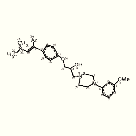 COc1cccc(N2CCN(CC(O)COc3ccc(C(=CN(C)C)C(C)=O)cc3)CC2)c1